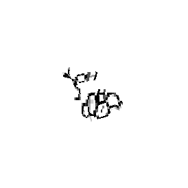 C=C(C)C(O)=CCC(C)[C@H]1CC[C@H]2[C@@H]3CCC4CCCC[C@]4(C)[C@H]3CC[C@]12C